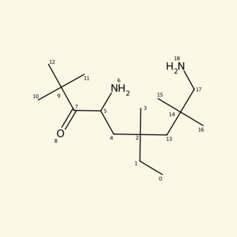 CCC(C)(CC(N)C(=O)C(C)(C)C)CC(C)(C)CN